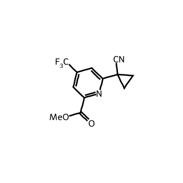 COC(=O)c1cc(C(F)(F)F)cc(C2(C#N)CC2)n1